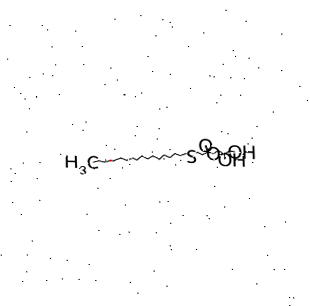 CCCCCCCCCCCCCCCCCCSCCC(=O)OCC(O)CO